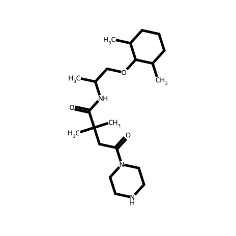 CC(COC1C(C)CCCC1C)NC(=O)C(C)(C)CC(=O)N1CCNCC1